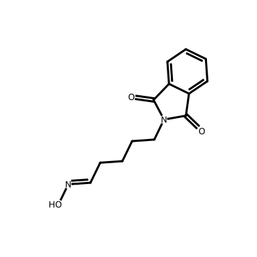 O=C1c2ccccc2C(=O)N1CCCCC=NO